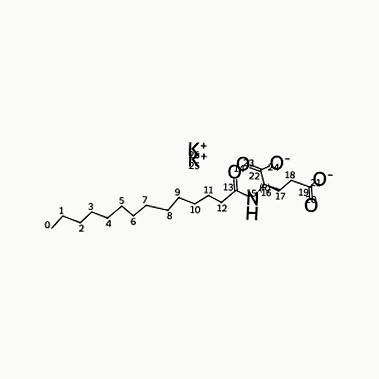 CCCCCCCCCCCCCC(=O)N[C@H](CCC(=O)[O-])C(=O)[O-].[K+].[K+]